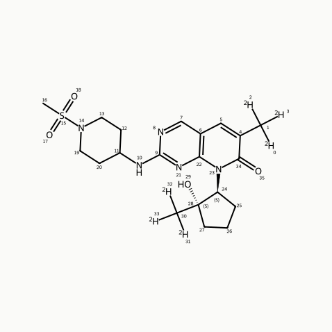 [2H]C([2H])([2H])c1cc2cnc(NC3CCN(S(C)(=O)=O)CC3)nc2n([C@H]2CCC[C@@]2(O)C([2H])([2H])[2H])c1=O